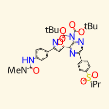 CNC(=O)Nc1ccc(-c2cc(-c3nc(-c4ccc(S(=O)(=O)C(C)C)cc4)cnc3N(C(=O)OC(C)(C)C)C(=O)OC(C)(C)C)on2)cc1